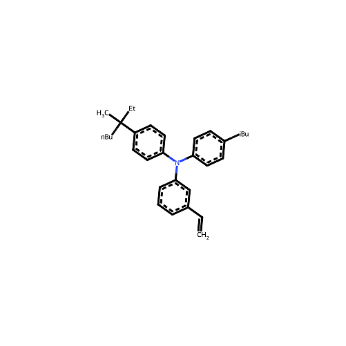 C=Cc1cccc(N(c2ccc(C(C)CC)cc2)c2ccc(C(C)(CC)CCCC)cc2)c1